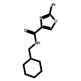 CC(C)c1nc(C(=O)NCC2CCCCC2)co1